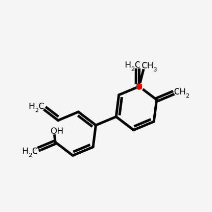 C=C/C=C(\C=C/C(=C)O)C(/C=C\C(=C)OC)=C/C=C